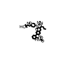 CCCc1c(Cc2ccc(-c3ccccc3-c3noc(=O)[nH]3)cc2)c(=O)n([C@H]2CC[C@@]3(CC2)CC(C(C)(C)O)=NO3)c2ncnn12